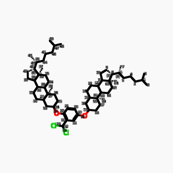 CC(C)CCC[C@@H](C)[C@H]1CCC2C3CCC4CC(Oc5ccc(OC6CC[C@@]7(C)C(CCC8C7CC[C@@]7(C)C8CC[C@@H]7[C@H](C)CCCC(C)C)C6)c(C(Cl)Cl)c5)CC[C@]4(C)C3CC[C@@]21C